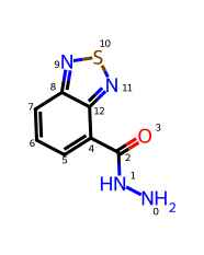 NNC(=O)c1cccc2nsnc12